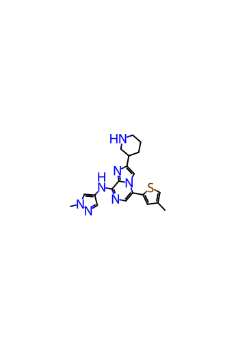 Cc1csc(-c2cnc(Nc3cnn(C)c3)c3nc(C4CCCNC4)cn23)c1